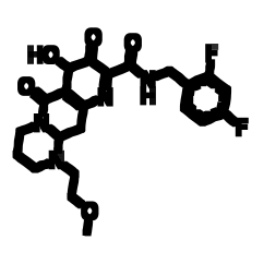 COCCN1CCCN2C(=O)C3=C(CC12)N=C(C(=O)NCc1ccc(F)cc1F)C(=O)C3O